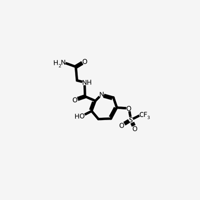 NC(=O)CNC(=O)C1=C(O)CC=C(OS(=O)(=O)C(F)(F)F)C=N1